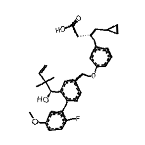 C=CC(C)(C)[C@H](O)c1cc(COc2cccc([C@H](CC(=O)O)CC3CC3)c2)ccc1-c1cc(OC)ccc1F